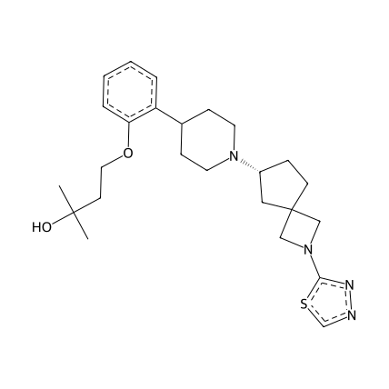 CC(C)(O)CCOc1ccccc1C1CCN([C@@H]2CCC3(C2)CN(c2nncs2)C3)CC1